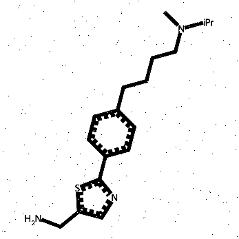 CC(C)N(C)CCCCc1ccc(-c2ncc(CN)s2)cc1